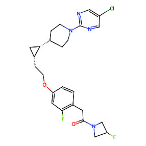 O=C(Cc1ccc(OCC[C@@H]2C[C@@H]2C2CCN(c3ncc(Cl)cn3)CC2)cc1F)N1CC(F)C1